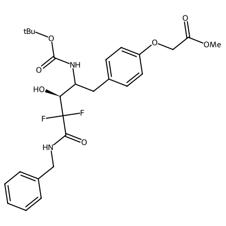 COC(=O)COc1ccc(CC(NC(=O)OC(C)(C)C)[C@H](O)C(F)(F)C(=O)NCc2ccccc2)cc1